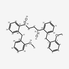 COc1ccccc1Cc1ccccc1[PH](=O)CC[PH](=O)c1ccccc1Cc1ccccc1OC